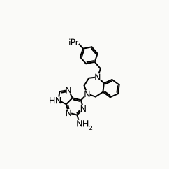 CC(C)c1ccc(CN2CCN(c3nc(N)nc4[nH]cnc34)Cc3ccccc32)cc1